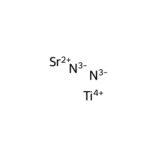 [N-3].[N-3].[Sr+2].[Ti+4]